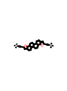 C[Si](C)(C)C#Cc1cc2ccc3c4ccc5c(ccc6cc(C#C[Si](C)(C)C)oc65)c4ccc3c2o1